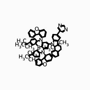 CC(C)(C)c1ccc2c(c1)B1c3cc(C(C)(C)C)ccc3N(c3cccc4oc5ccccc5c34)c3cc(N4c5ccc(-c6cncnc6)cc5C5(C)CCc6ccccc6C45C)cc(c31)N2c1cccc2oc3ccccc3c12